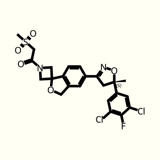 C[C@@]1(c2cc(Cl)c(F)c(Cl)c2)CC(c2ccc3c(c2)COC32CN(C(=O)CS(C)(=O)=O)C2)=NO1